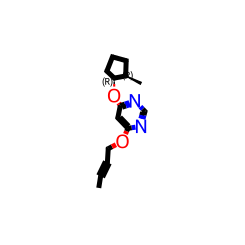 CC#CCOc1cc(O[C@@H]2CCC[C@H]2C)ncn1